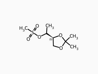 CC(OS(C)(=O)=O)[C@@H]1COC(C)(C)O1